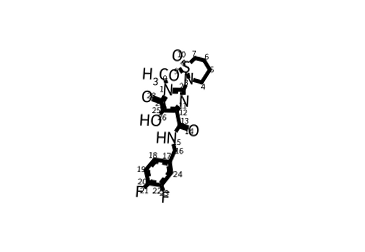 Cn1c(N2CCCCS2(=O)=O)nc(C(=O)NCc2ccc(F)c(F)c2)c(O)c1=O